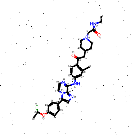 CCNC(=O)CN1CCC(CC(=O)c2ccc(Nc3nccn4c(-c5ccc(OC(C)F)cc5)cnc34)cc2C)CC1